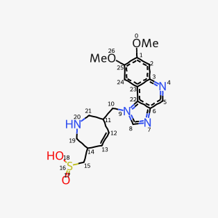 COc1cc2ncc3ncn(CC4C=CC(CS(=O)O)CNC4)c3c2cc1OC